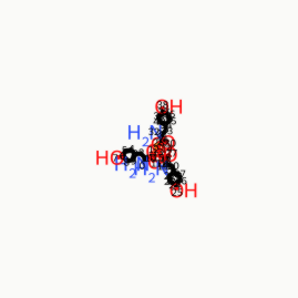 NC(Cc1ccc(O)cc1)C(=O)OP(=O)(OC(=O)C(N)Cc1ccc(O)cc1)OC(=O)C(N)Cc1ccc(O)cc1